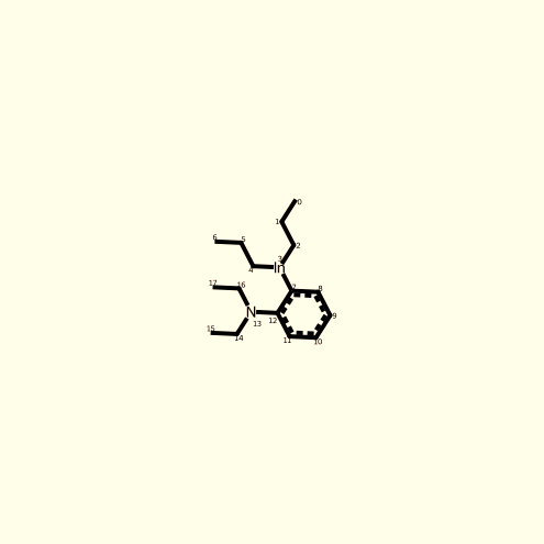 CC[CH2][In]([CH2]CC)[c]1ccccc1N(CC)CC